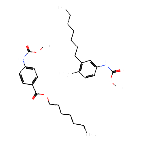 CCCCCCCCCCCCCCCCOC(=O)c1ccc(NC(=O)OC(C)(C)C)cc1.CCCCCCCCCCCCCCCCc1cc(NC(=O)OC(C)(C)C)ccc1C(=O)O